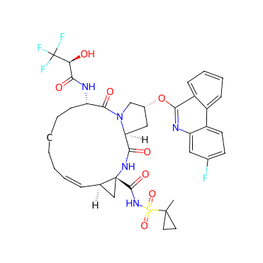 CC1(S(=O)(=O)NC(=O)[C@@]23C[C@H]2/C=C\CCCCC[C@H](NC(=O)[C@H](O)C(F)(F)F)C(=O)N2C[C@H](Oc4nc5cc(F)ccc5c5ccccc45)C[C@H]2C(=O)N3)CC1